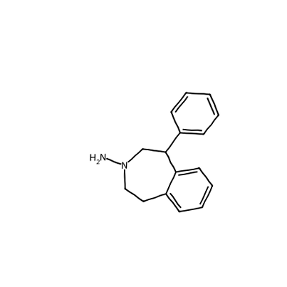 NN1CCc2ccccc2C(c2ccccc2)C1